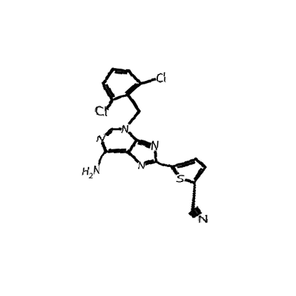 N#Cc1ccc(-c2nc3c(N)ncn(Cc4c(Cl)cccc4Cl)c-3n2)s1